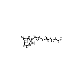 FCCOCCOCCOC[C@@H]1C2CC/C=C/CC[C@@H]21